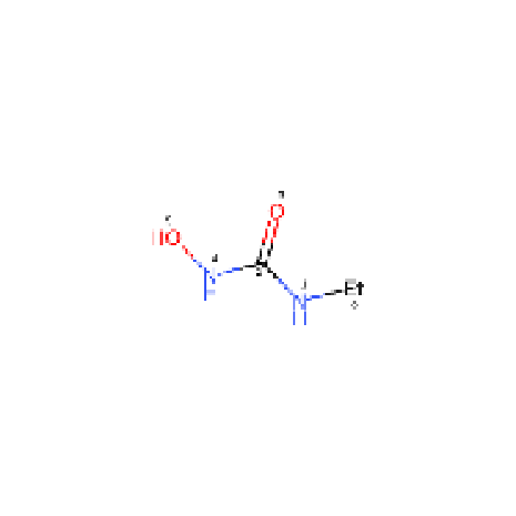 [CH2]CNC(=O)NO